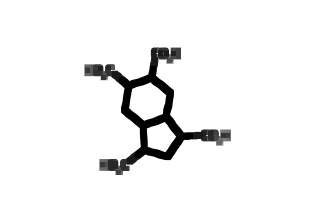 O=C(O)C1CC2C(C(=O)O)CC(C(=O)O)C2CC1C(=O)O